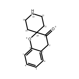 O=C1Cc2ccccc2OC12CCNCC2